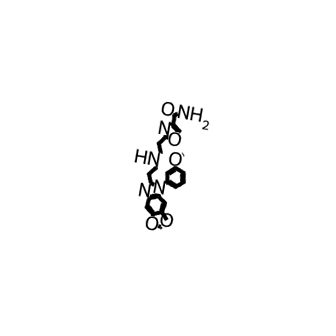 COc1cccc(-n2c(CCNCCc3nc(C(N)=O)co3)nc3cc4c(cc32)OCO4)c1